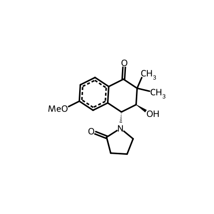 COc1ccc2c(c1)[C@@H](N1CCCC1=O)[C@H](O)C(C)(C)C2=O